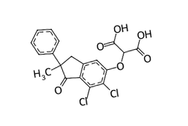 CC1(c2ccccc2)Cc2cc(OC(C(=O)O)C(=O)O)c(Cl)c(Cl)c2C1=O